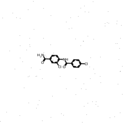 NC(=O)c1ccc(NC(=O)c2ccc(Cl)cc2)c(Cl)c1